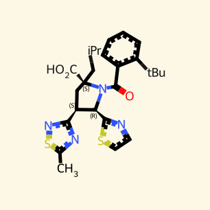 Cc1nc([C@H]2C[C@@](CC(C)C)(C(=O)O)N(C(=O)c3ccccc3C(C)(C)C)[C@H]2c2nccs2)ns1